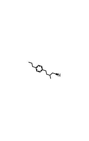 CCCc1ccc(CCC(C)CC#N)cc1